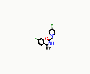 CC(C)[C@H](NC(=O)CN1CCC(F)CC1)c1ccc(F)cc1